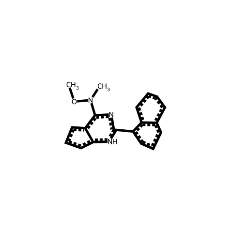 CON(C)c1nc(-c2cccc3ccccc23)[nH]c2cccc1-2